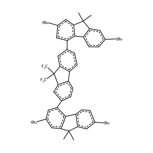 CC(C)(C)c1ccc2c(c1)C(C)(C)c1cc(C(C)(C)C)cc(-c3ccc4c(c3)C(C(F)(F)F)(C(F)(F)F)c3cc(-c5cc(C(C)(C)C)cc6c5-c5ccc(C(C)(C)C)cc5C6(C)C)ccc3-4)c1-2